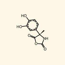 C[C@@]1(c2ccc(O)c(O)c2)NC(=O)OC1=O